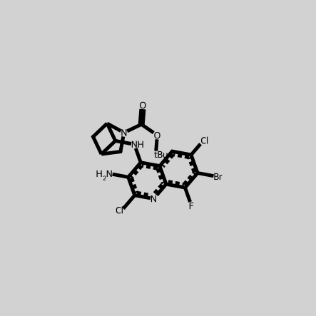 CC(C)(C)OC(=O)N1CC2CC1C2Nc1c(N)c(Cl)nc2c(F)c(Br)c(Cl)cc12